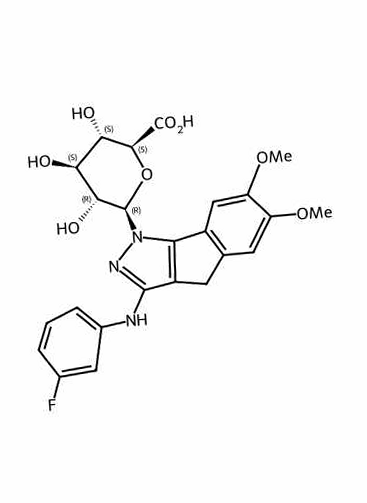 COc1cc2c(cc1OC)-c1c(c(Nc3cccc(F)c3)nn1[C@@H]1O[C@H](C(=O)O)[C@@H](O)[C@H](O)[C@H]1O)C2